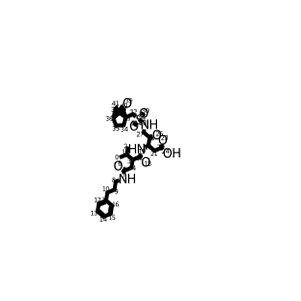 CC(C)C(CC(=O)NCCCc1ccccc1)C(=O)NC(CC(=O)O)C(=O)CNS(=O)(=O)CC12CCC(CC1=O)C2(C)C